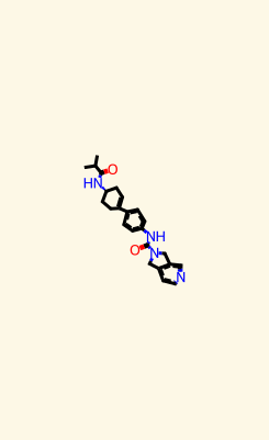 CC(C)C(=O)N[C@H]1CC=C(c2ccc(NC(=O)N3Cc4ccncc4C3)cc2)CC1